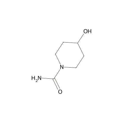 NC(=O)N1CCC(O)CC1